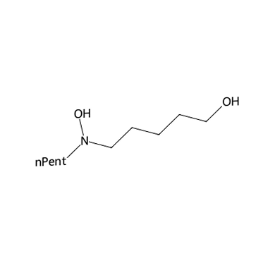 CCCCCN(O)CCCCCO